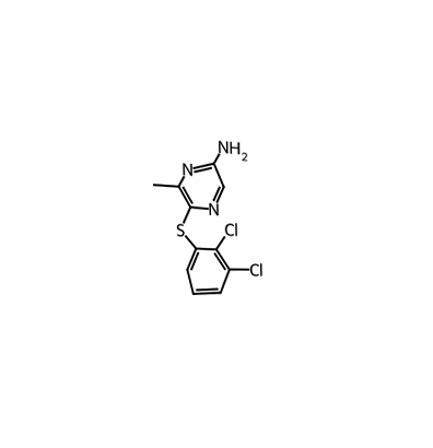 Cc1nc(N)cnc1Sc1cccc(Cl)c1Cl